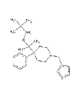 CC(C)(C)[SiH2]OC(C)(C)C1(c2ccccc2)CCN(Cc2ccsc2)CC1